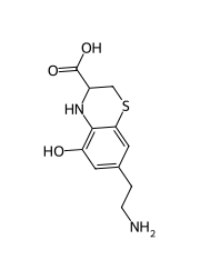 NCCc1cc(O)c2c(c1)SCC(C(=O)O)N2